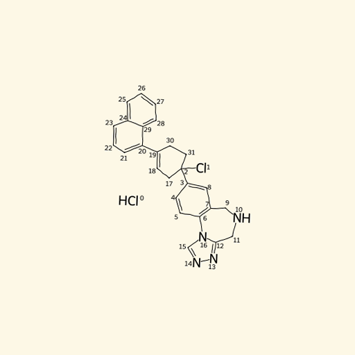 Cl.ClC1(c2ccc3c(c2)CNCc2nncn2-3)CC=C(c2cccc3ccccc23)CC1